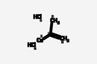 C=[C](C)[Ce].Cl.Cl